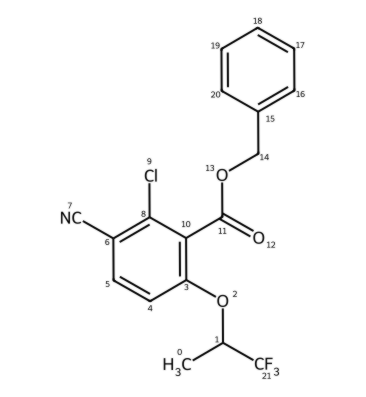 CC(Oc1ccc(C#N)c(Cl)c1C(=O)OCc1ccccc1)C(F)(F)F